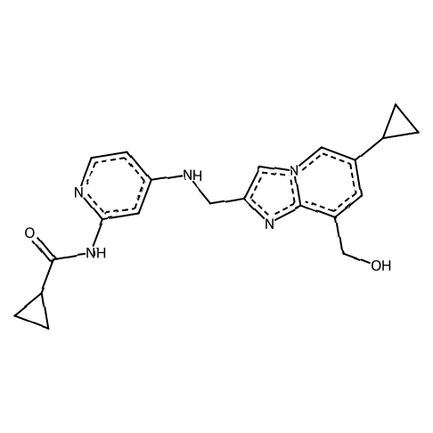 O=C(Nc1cc(NCc2cn3cc(C4CC4)cc(CO)c3n2)ccn1)C1CC1